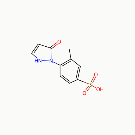 Cc1cc(S(=O)(=O)O)ccc1-n1[nH]ccc1=O